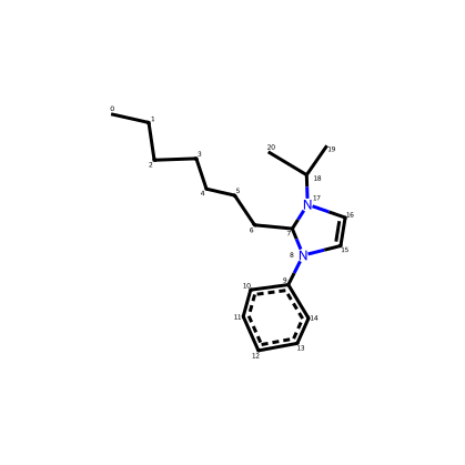 CCCCCCCC1N(c2ccccc2)C=CN1C(C)C